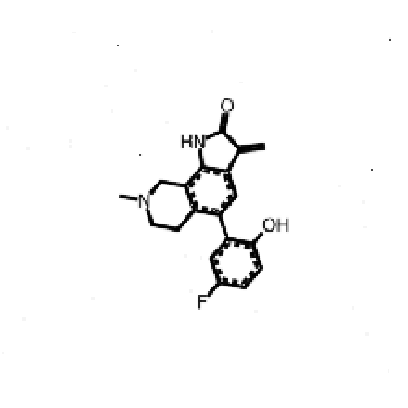 C=C1C(=O)Nc2c1cc(-c1cc(F)ccc1O)c1c2CN(C)CC1